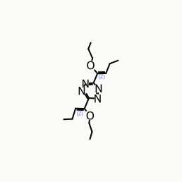 CC/C=C(\OCCC)c1nnc(/C(=C/CC)OCCC)nn1